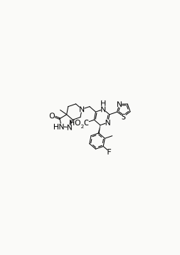 Cc1c(F)cccc1[C@@H]1N=C(c2nccs2)NC(CN2CCC3(C)C(=O)NN=C3C2)=C1C(=O)O